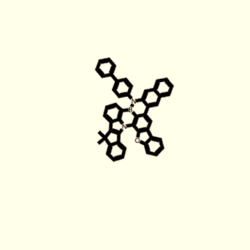 CC1(C)c2ccccc2-c2c1c1cccc3c1n2-c1c2c(cc4c1oc1ccccc14)-c1cc4ccccc4cc1N(c1ccc(-c4ccccc4)cc1)B23